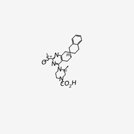 C[C@H]1CN(C(=O)O)CCN1c1nc([S+](C)[O-])nc2c1CC[C@@]1(CCc3ccccc3C1)C2